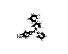 ClP([c-]1cccc1)[c-]1cccc1.[Fe+2].[Fe+2].c1cc[cH-]c1.c1cc[cH-]c1